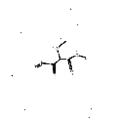 C=CC(=O)C(OC)C(=O)OC